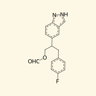 O=COCC(Cc1ccc(F)cc1)c1ccc2n[nH]cc2c1